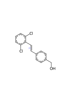 OCc1ccc(/C=C/c2c(Cl)cccc2Cl)cc1